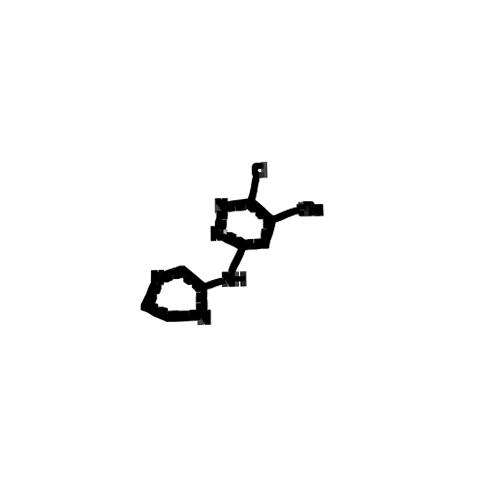 CC(C)(C)c1cc(Nc2cnccn2)nnc1Cl